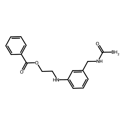 BC(=O)NCc1cccc(NCCOC(=O)c2ccccc2)c1